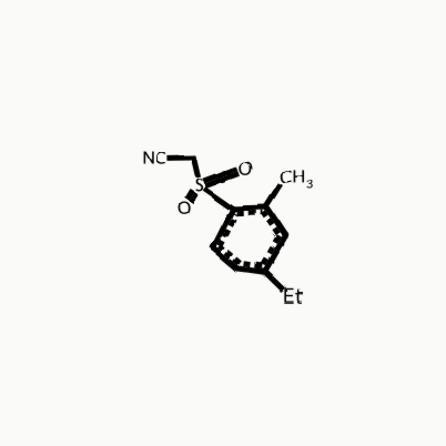 CCc1ccc(S(=O)(=O)CC#N)c(C)c1